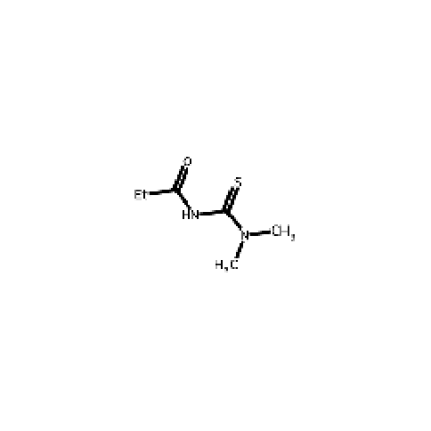 CCC(=O)NC(=S)N(C)C